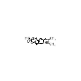 CNC(C)Cc1ccc2cc(OP(=O)(O)O)oc2c1